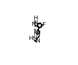 Fc1cc(-c2cn(Cc3ncc[nH]3)nn2)c2cn[nH]c2c1